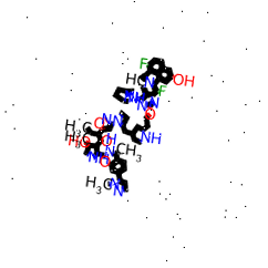 C#Cc1c(F)ccc2cc(O)cc(-c3ncc4c(N5CC6CCC(C5)N6)nc(OCCC5CC(CC6CCN6c6cc(C(C(=O)C7C(O)CNC7C(=O)N[C@@H](C)c7ccc(-c8ccnn8C)cc7)C(C)C)on6)CCN5)nc4c3F)c12